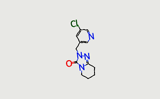 O=c1n(Cc2cncc(Cl)c2)nc2n1CCCC2